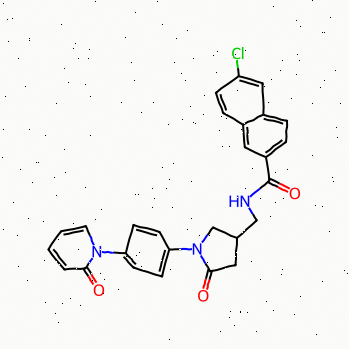 O=C(NCC1CC(=O)N(c2ccc(-n3ccccc3=O)cc2)C1)c1ccc2cc(Cl)ccc2c1